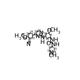 COc1cc(NC(=O)NC2CCN(C)CC2)cc(Nc2nccc(-c3ccc(OC)c(C#N)c3)n2)c1